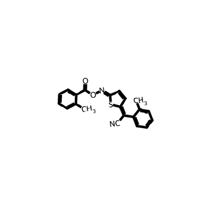 Cc1ccccc1C(=O)ON=C1C=CC(=C(C#N)c2ccccc2C)S1